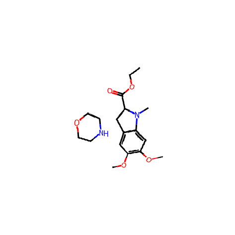 C1COCCN1.CCOC(=O)C1Cc2cc(OC)c(OC)cc2N1C